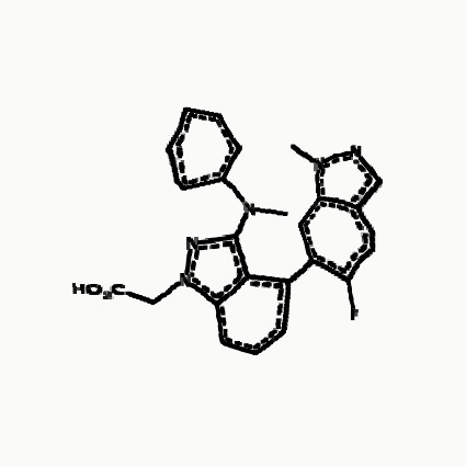 CN(c1ccccc1)c1nn(CC(=O)O)c2cccc(-c3cc4c(cnn4C)cc3F)c12